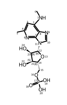 CNc1cc(C)nc2c1ncn2[C@@H]1O[C@H](COP(=O)(O)O)[C@@H](O)[C@H]1O